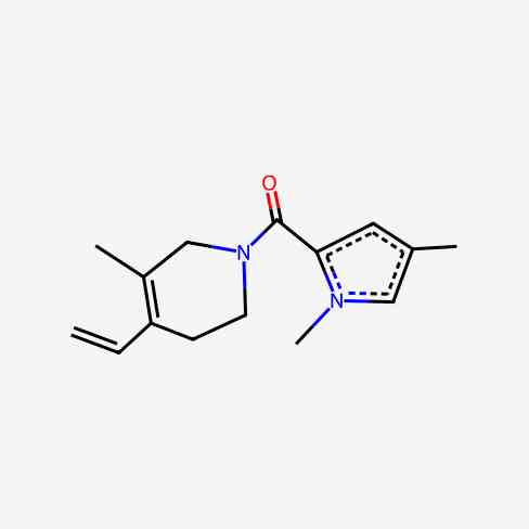 C=CC1=C(C)CN(C(=O)c2cc(C)cn2C)CC1